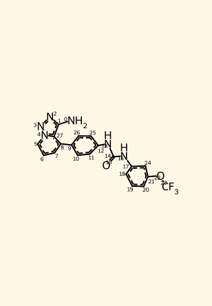 Nc1nnn2cccc(-c3ccc(NC(=O)Nc4cccc(OC(F)(F)F)c4)cc3)c12